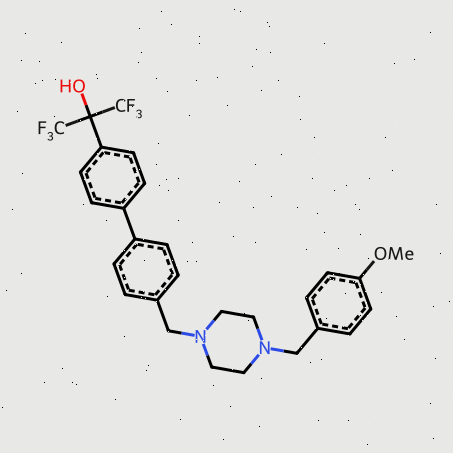 COc1ccc(CN2CCN(Cc3ccc(-c4ccc(C(O)(C(F)(F)F)C(F)(F)F)cc4)cc3)CC2)cc1